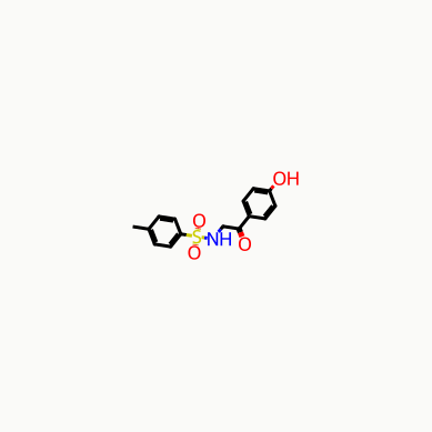 Cc1ccc(S(=O)(=O)NCC(=O)c2ccc(O)cc2)cc1